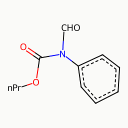 CCCOC(=O)N(C=O)c1ccccc1